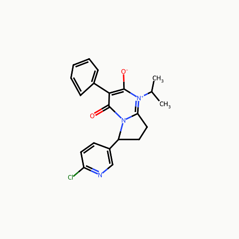 CC(C)[n+]1c([O-])c(-c2ccccc2)c(=O)n2c1CCC2c1ccc(Cl)nc1